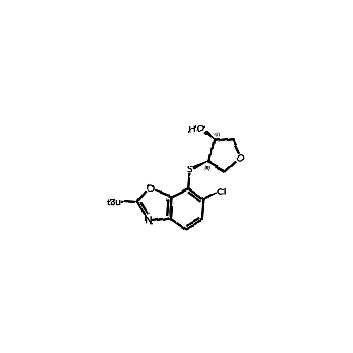 CC(C)(C)c1nc2ccc(Cl)c(S[C@@H]3COC[C@@H]3O)c2o1